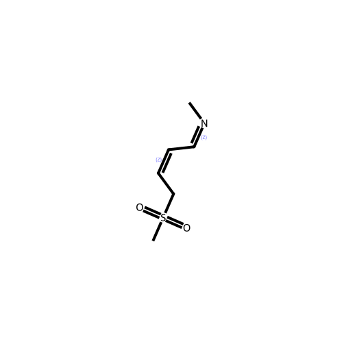 C/N=C\C=C/CS(C)(=O)=O